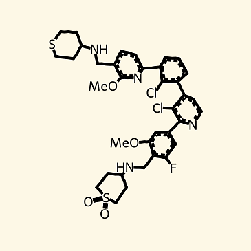 COc1cc(-c2nccc(-c3cccc(-c4ccc(CNC5CCSCC5)c(OC)n4)c3Cl)c2Cl)cc(F)c1CNC1CCS(=O)(=O)CC1